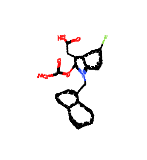 O=C(O)Cc1c(OC(=O)O)n(Cc2cccc3ccccc23)c2ccc(F)cc12